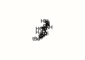 Cc1c(-c2cc(Nc3cc4n(n3)CCNC4)c(=O)n(CO)n2)cccc1N1Cc2cc(C(C)(C)C)sc2C1=O